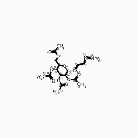 CC(=O)OCC1O[C@H](OCCN=[N+]=[N-])C(OC(C)=O)[C@@H](OC(C)=O)[C@H]1OC(C)=O